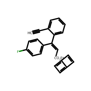 C#Cc1ccccc1C(=CC(=O)OCC)c1ccc(F)cc1.c1cc2ccc1-2